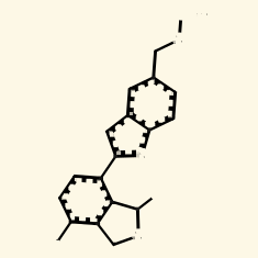 CCCCCCNCc1ccc2[nH]c(-c3ccc(Cl)c4c3C(O)NC4)cc2c1.Cl